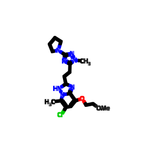 COCCOC1=CC(Cl)=C(C)N2NC(CCc3nc(N4CCCC4)nn3C)N=C12